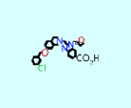 O=C(O)c1ccc2nc(CN3CCc4ccc(OCc5cccc(Cl)c5)cc4C3)n(C[C@@H]3CCO3)c2c1